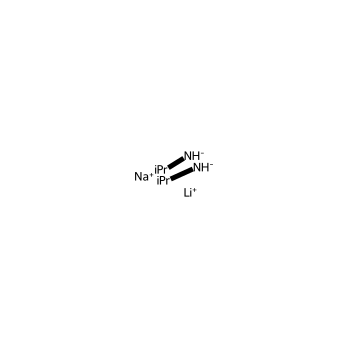 CC(C)[NH-].CC(C)[NH-].[Li+].[Na+]